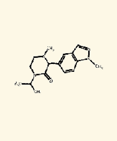 CC(C)N1CCN(C)C(c2ccc3c(cnn3C)c2)C1=O